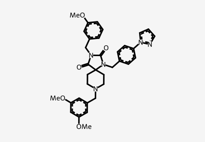 COc1cccc(CN2C(=O)N(Cc3ccc(-n4cccn4)cc3)C3(CCN(Cc4cc(OC)cc(OC)c4)CC3)C2=O)c1